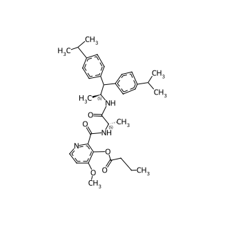 CCCC(=O)Oc1c(OC)ccnc1C(=O)N[C@@H](C)C(=O)N[C@@H](C)C(c1ccc(C(C)C)cc1)c1ccc(C(C)C)cc1